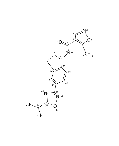 Cc1oncc1C(=O)NC1CCc2cc(-c3noc(C(F)F)n3)ccc21